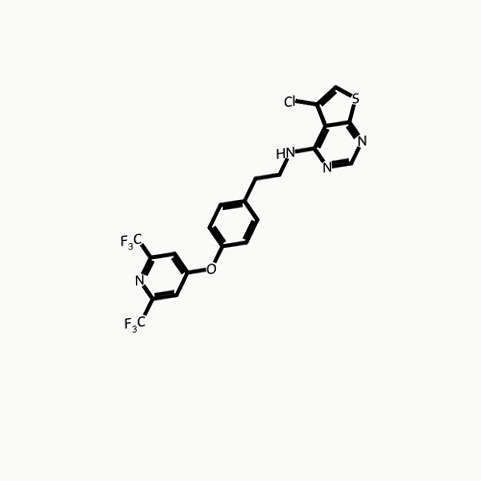 FC(F)(F)c1cc(Oc2ccc(CCNc3ncnc4scc(Cl)c34)cc2)cc(C(F)(F)F)n1